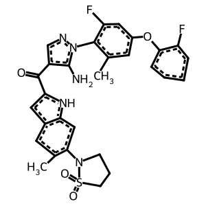 Cc1cc2cc(C(=O)c3cnn(-c4c(C)cc(Oc5ccccc5F)cc4F)c3N)[nH]c2cc1N1CCCS1(=O)=O